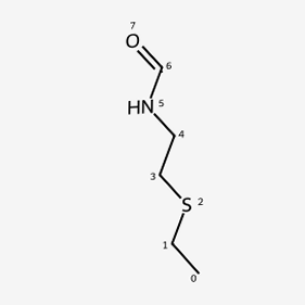 CCSCCN[C]=O